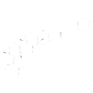 CC(C)C1=C2[C@H]3CC[C@@H]4[C@@]5(C)CCC(NC(=O)OCC6CCCCC6)C(C)(C)[C@@H]5CC[C@@]4(C)[C@]3(C)CC[C@@]2(C)CC1=O